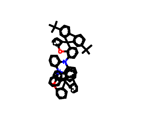 CC(C)(C)c1ccc2c(c1)C1(c3ccccc3Oc3c(N(c4ccc5c(c4)C4(c6ccccc6Oc6ccccc64)c4ccccc4-5)c4ccccc4-n4c5ccccc5c5ccccc54)cccc31)c1cc(C(C)(C)C)ccc1-2